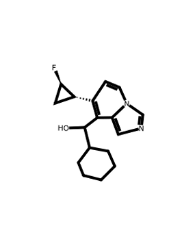 OC(c1c([C@@H]2C[C@H]2F)ccn2cncc12)C1CCCCC1